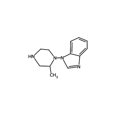 CC1CNCCN1n1cnc2ccccc21